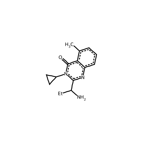 CCC(N)c1nc2cccc(C)c2c(=O)n1C1CC1